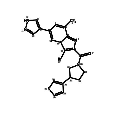 O=C(c1nc2c(C(F)(F)F)cc(-c3cn[nH]c3)cn2c1Br)N1CCC(c2ccsc2)C1